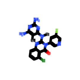 CCN(c1nc(N)nc(N)c1C#N)c1nc2cccc(Cl)c2c(=O)n1-c1cncc(F)c1